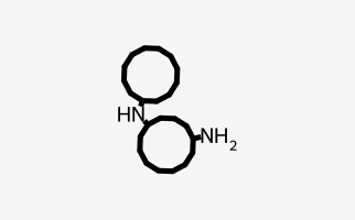 NC1CCCCCCCC(NC2CCCCCCCCCCC2)CCC1